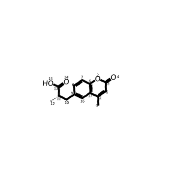 Cc1cc(=O)oc2ccc(C[C@H](C)C(=O)O)cc12